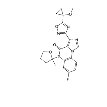 COC1(c2nc(-c3ncn4c3c(=O)n(C3(C)CCCO3)c3cc(F)ccc34)no2)CC1